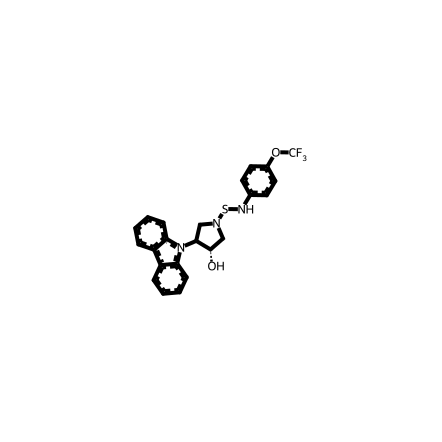 O[C@H]1CN(SNc2ccc(OC(F)(F)F)cc2)CC1n1c2ccccc2c2ccccc21